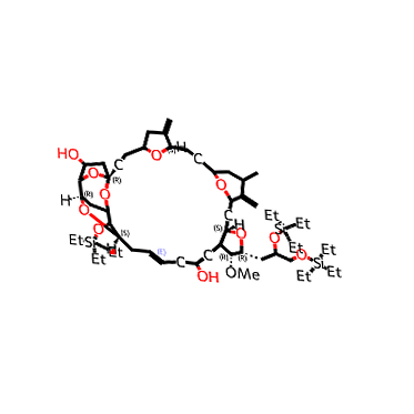 C=C1C(C)CC2CC[C@@H]3OC(CC[C@]45CC(O)C(O4)[C@H]4CC(O5)C(O[Si](CC)(CC)CC)[C@H](C/C=C/CC(O)CC5[C@H](CC1O2)O[C@H](CC(CO[Si](CC)(CC)CC)O[Si](CC)(CC)CC)[C@@H]5OC)O4)CC3=C